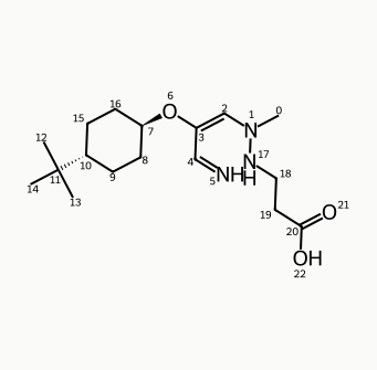 CN(/C=C(\C=N)O[C@H]1CC[C@H](C(C)(C)C)CC1)NCCC(=O)O